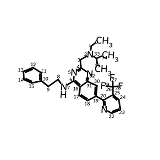 CCN(Cc1nc(NCCc2ccccc2)c2ccc(-c3ncccc3C(F)(F)F)cc2n1)C(C)C